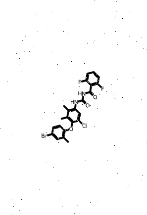 Cc1cc(Br)ccc1Oc1c(Cl)cc(NC(=O)NC(=O)c2c(F)cccc2F)c(C)c1C